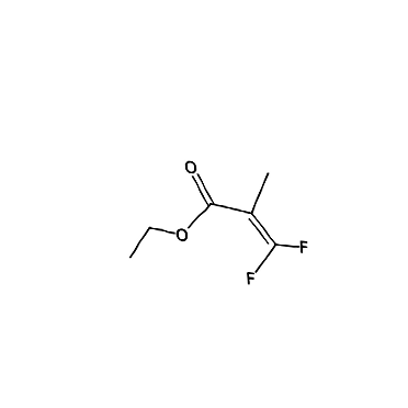 CCOC(=O)C(C)=C(F)F